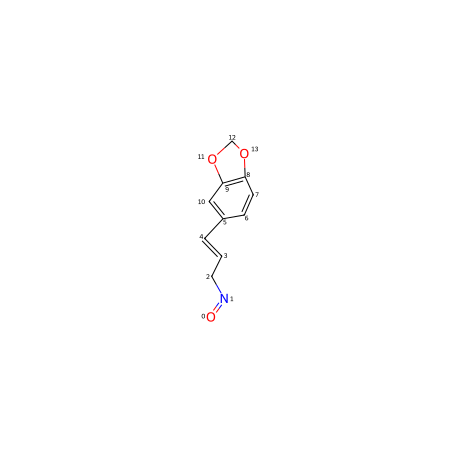 O=NC/C=C/c1ccc2c(c1)OCO2